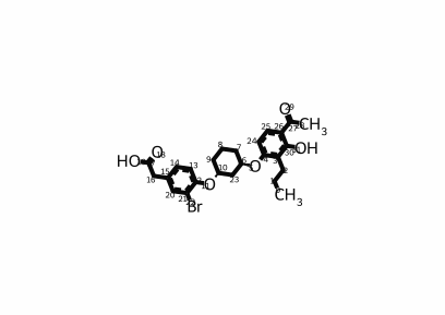 CCCc1c(O[C@@H]2CCC[C@@H](Oc3ccc(CC(=O)O)cc3Br)C2)ccc(C(C)=O)c1O